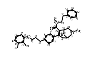 CC(=O)N1CC2CC(c3ccc(CCCOc4cccc(C)c4C)cc3)=C(C(=O)N(C)CCc3ccccc3)C(C1)N2